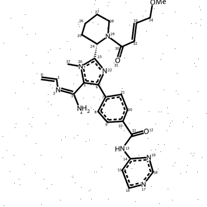 C=C/N=C(/N)c1c(-c2ccc(C(=O)Nc3ccncn3)cc2)nc([C@@H]2CCCCN2C(=O)/C=C/COC)n1C